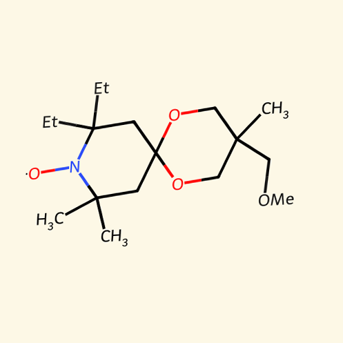 CCC1(CC)CC2(CC(C)(C)N1[O])OCC(C)(COC)CO2